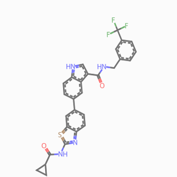 O=C(NCc1cccc(C(F)(F)F)c1)c1c[nH]c2ccc(-c3ccc4nc(NC(=O)C5CC5)sc4c3)cc12